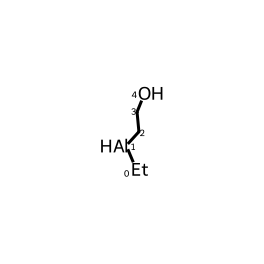 C[CH2][AlH][CH2]CO